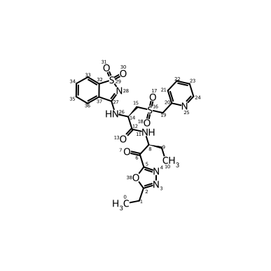 CCc1nnc(C(=O)[C@H](CC)NC(=O)[C@H](CS(=O)(=O)Cc2ccccn2)NC2=NS(=O)(=O)c3ccccc32)o1